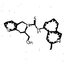 Cc1cc2c(NC(=S)N3Cc4ccsc4CC3CO)cccc2cn1